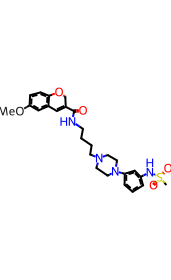 COc1ccc2c(c1)C=C(C(=O)NCCCCN1CCN(c3cccc(NS(C)(=O)=O)c3)CC1)CO2